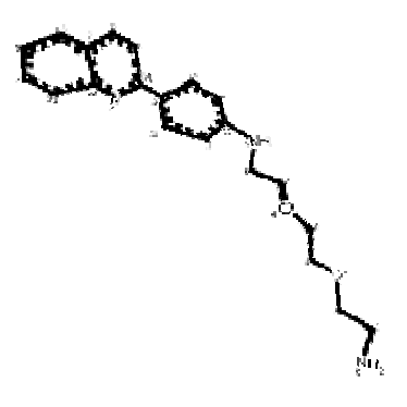 NCCOCCOCCNc1ccc(-c2ccc3ccccc3n2)cc1